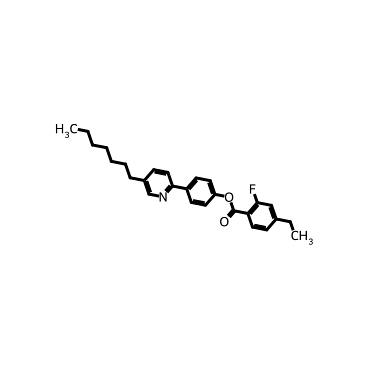 CCCCCCCc1ccc(-c2ccc(OC(=O)c3ccc(CC)cc3F)cc2)nc1